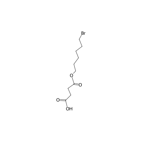 O=C(O)CCC(=O)OCCCCCCBr